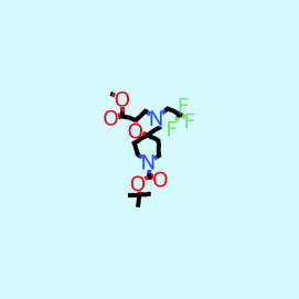 COC(=O)C1CN(CC(F)(F)F)CC2(CCN(C(=O)OC(C)(C)C)CC2)O1